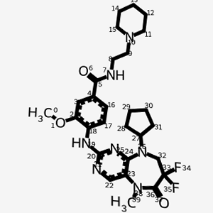 COc1cc(C(=O)NCCN2CCCCC2)ccc1Nc1ncc2c(n1)N(C1CCCC1)CC(F)(F)C(=O)N2C